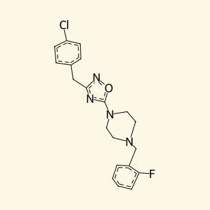 Fc1ccccc1CN1CCN(c2nc(Cc3ccc(Cl)cc3)no2)CC1